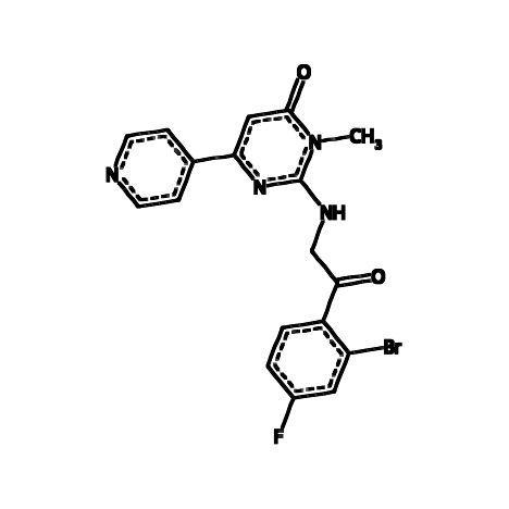 Cn1c(NCC(=O)c2ccc(F)cc2Br)nc(-c2ccncc2)cc1=O